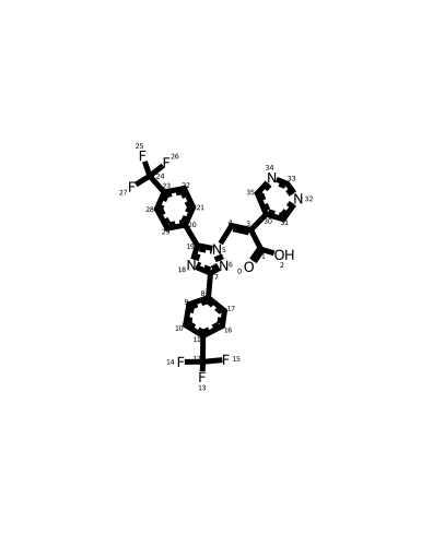 O=C(O)C(=Cn1nc(-c2ccc(C(F)(F)F)cc2)nc1-c1ccc(C(F)(F)F)cc1)c1cncnc1